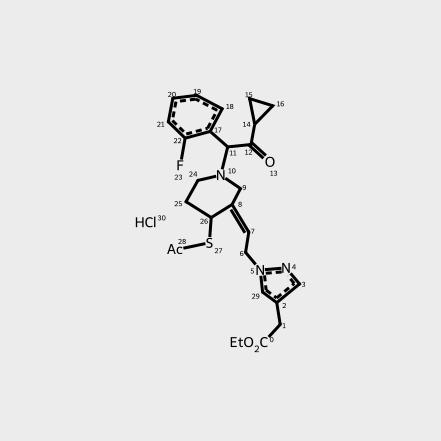 CCOC(=O)Cc1cnn(CC=C2CN(C(C(=O)C3CC3)c3ccccc3F)CCC2SC(C)=O)c1.Cl